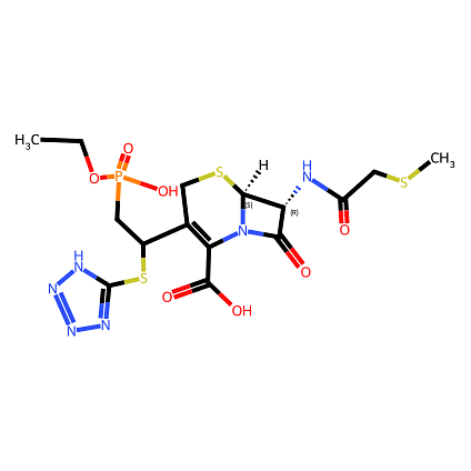 CCOP(=O)(O)CC(Sc1nnn[nH]1)C1=C(C(=O)O)N2C(=O)[C@@H](NC(=O)CSC)[C@@H]2SC1